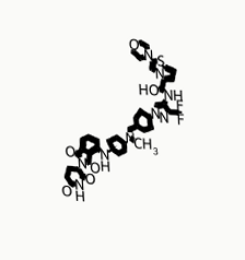 CN(CC1CCC(n2cc(NC(O)c3ccc4sc(N5CCOCC5)cn34)c(C(F)F)n2)CC1)[C@H]1CC[C@H](Nc2cccc3c2C(=O)N(C2CCC(=O)NC2=O)C3=O)CC1